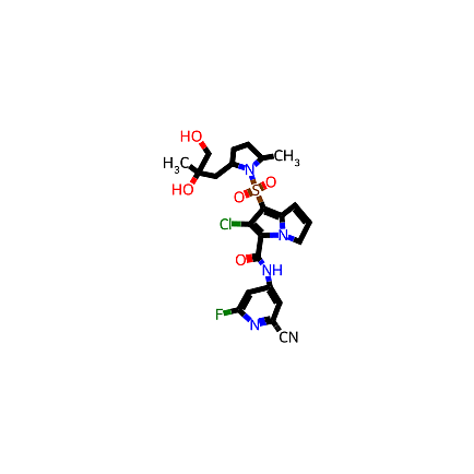 CC1CCC(CC(C)(O)CO)N1S(=O)(=O)c1c(Cl)c(C(=O)Nc2cc(F)nc(C#N)c2)n2c1C=CC2